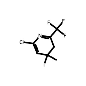 CC1(I)C=C(Cl)N=C(C(F)(F)F)C1